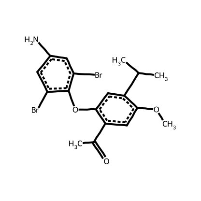 COc1cc(C(C)=O)c(Oc2c(Br)cc(N)cc2Br)cc1C(C)C